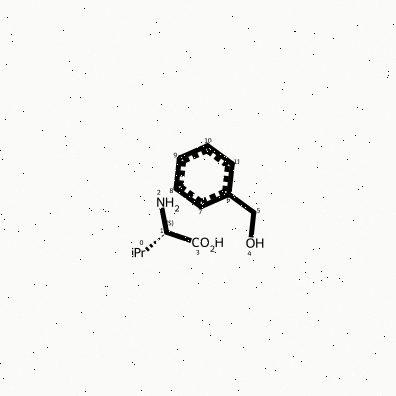 CC(C)[C@H](N)C(=O)O.OCc1ccccc1